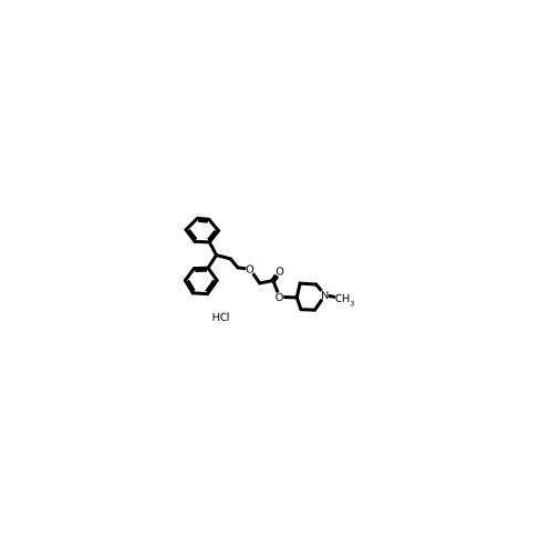 CN1CCC(OC(=O)COCCC(c2ccccc2)c2ccccc2)CC1.Cl